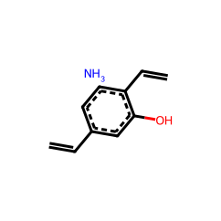 C=Cc1ccc(C=C)c(O)c1.N